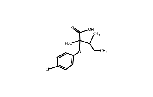 CCC(C)C(C)(Oc1ccc(Cl)cc1)C(=O)O